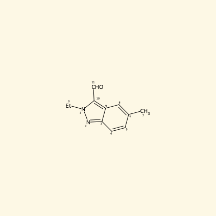 CCn1nc2ccc(C)cc2c1C=O